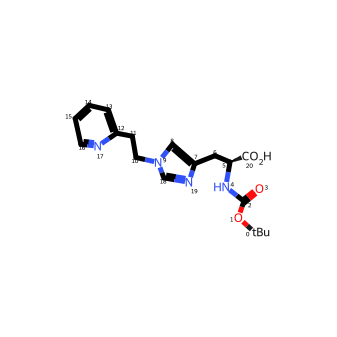 CC(C)(C)OC(=O)N[C@@H](Cc1cn(CCc2ccccn2)cn1)C(=O)O